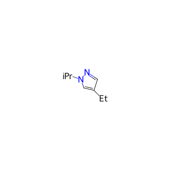 CCc1cnn(C(C)C)c1